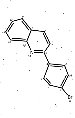 Brc1ccc(-c2c[c]c3ccccc3n2)cc1